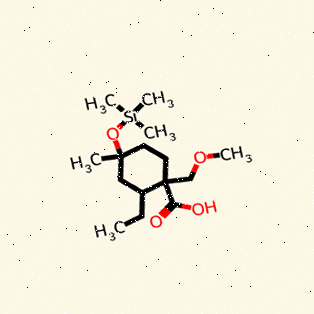 CCC1CC(C)(O[Si](C)(C)C)CCC1(COC)C(=O)O